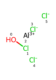 OCl.[Al+3].[Cl-].[Cl-].[Cl-]